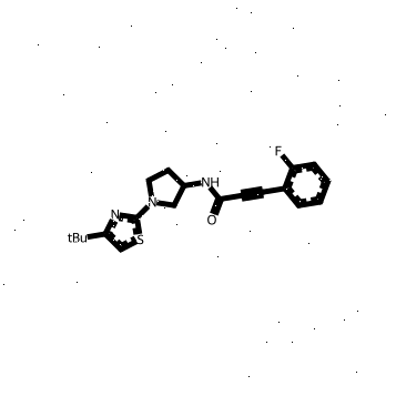 CC(C)(C)c1csc(N2CCC(NC(=O)C#Cc3ccccc3F)C2)n1